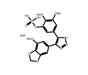 COc1cc(-c2[nH]nnc2-c2cc(OC)c3c(c2)OCO3)cc(OP(=O)(O)O)c1OC.[NaH]